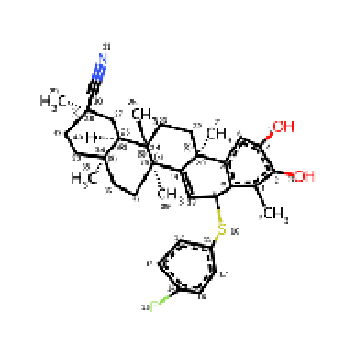 Cc1c(O)c(O)cc2c1C(Sc1ccc(F)cc1)C=C1[C@@]2(C)CC[C@@]2(C)[C@@H]3C[C@](C)(C#N)CC[C@]3(C)CC[C@]12C